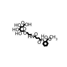 COC(=O)c1ccccc1NC(=O)CCC(=O)NCCCO[C@@H]1OC(C(=O)O)[C@@H](O)C(O)C1O